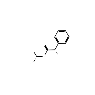 CCC[C@H](NC(=O)[C@H](O)c1ccccc1)C(=O)O